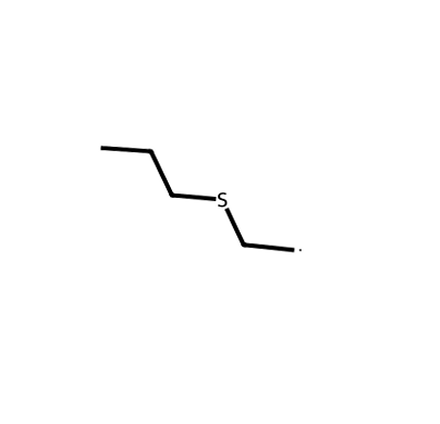 [CH2]CSCCC